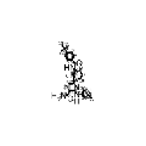 C[C@@H]1[C@H](NC(=O)c2ccc(C(C)(C)C)cc2)CCCN1c1cnc(C(N)=O)c(Nc2cnn(C)c2)n1